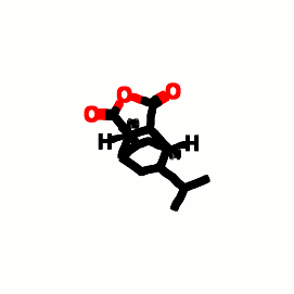 CC(C)C1CC2C(C)C[C@@H]1C1C(=O)OC(=O)[C@@H]21